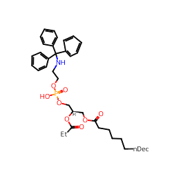 CCCCCCCCCCCCCCCC(=O)OC[C@H](COP(=O)(O)OCCNC(c1ccccc1)(c1ccccc1)c1ccccc1)OC(=O)CC